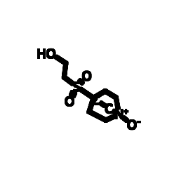 O=S(=O)(CCO)C12CC[N+]([O-])(CC1)CC2